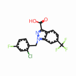 O=C(O)c1nn(Cc2ccc(F)cc2Cl)c2cc(C(F)(F)F)ccc12